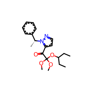 CCC(CC)OC(OC)(OC)C(=O)c1ccnn1[C@H](C)c1ccccc1